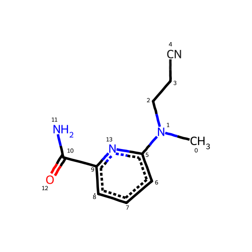 CN(CCC#N)c1cc[c]c(C(N)=O)n1